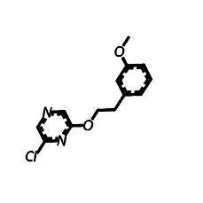 COc1cccc(CCOc2cncc(Cl)n2)c1